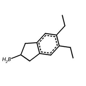 BC1Cc2cc(CC)c(CC)cc2C1